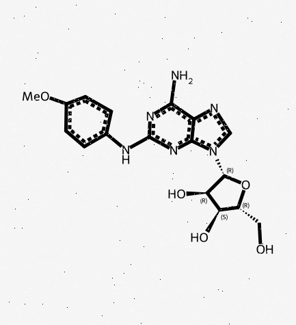 COc1ccc(Nc2nc(N)c3ncn([C@@H]4O[C@H](CO)[C@@H](O)[C@H]4O)c3n2)cc1